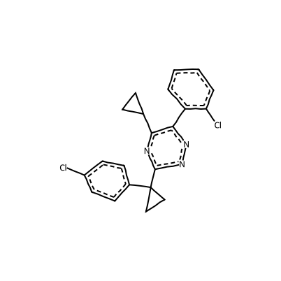 Clc1ccc(C2(c3nnc(-c4ccccc4Cl)c(C4CC4)n3)CC2)cc1